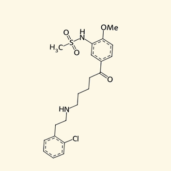 COc1ccc(C(=O)CCCCNCCc2ccccc2Cl)cc1NS(C)(=O)=O